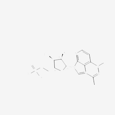 CC1=NN(C)c2ccnc3c2[n+]1cn3[C@@H]1O[C@H](COP(=O)(O)O)[C@@H](O)[C@H]1O